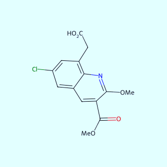 COC(=O)c1cc2cc(Cl)cc(CC(=O)O)c2nc1OC